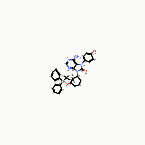 CC(C)(C)[Si](OC1CCCC(n2c(=O)n(-c3ccc(Br)cc3)c3c(N)ncnc32)C1)(c1ccccc1)c1ccccc1